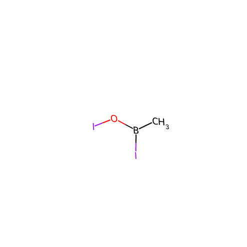 CB(I)OI